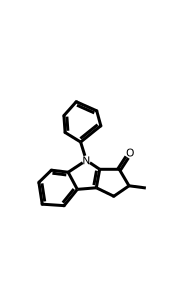 CC1Cc2c(n(-c3ccccc3)c3ccccc23)C1=O